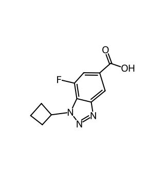 O=C(O)c1cc(F)c2c(c1)nnn2C1CCC1